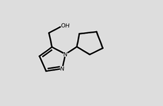 OCc1ccnn1C1CCCC1